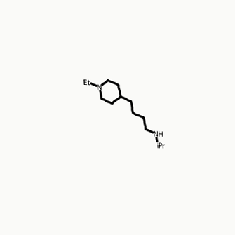 CCN1CCC(CCCCNC(C)C)CC1